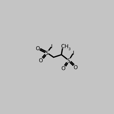 CC(CS(=O)(=O)I)S(=O)(=O)I